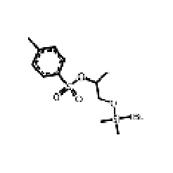 Cc1ccc(S(=O)(=O)OC(C)CO[Si](C)(C)C(C)(C)C)cc1